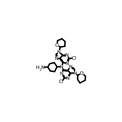 NC1CCC(N(c2nc(Cl)nc3c2ncn3C2CCCCO2)c2nc(Cl)nc3c2ncn3C2CCCCO2)CC1